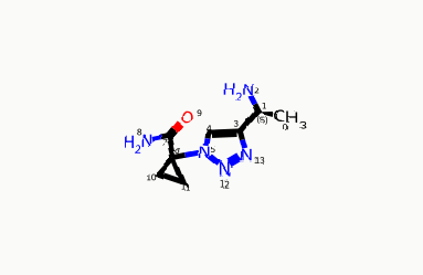 C[C@H](N)c1cn(C2(C(N)=O)CC2)nn1